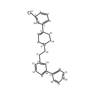 Clc1cccc(C2=CCN(CCc3cccc(-c4ccncc4)c3)CC2)n1